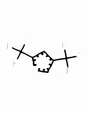 FC(F)(F)c1[c]c(C(F)(F)F)sc1